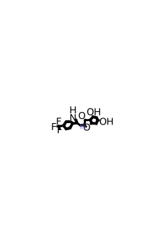 O=C1/C(=C\c2c[nH]c3cc(C(F)(F)F)ccc23)Oc2cc(O)cc(O)c21